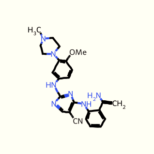 C=C(N)c1ccccc1Nc1nc(Nc2ccc(OC)c(N3CCN(C)CC3)c2)ncc1C#N